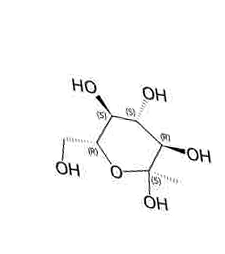 C[C@]1(O)O[C@H](CO)[C@@H](O)[C@H](O)[C@H]1O